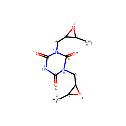 CC1OC1Cn1c(=O)[nH]c(=O)n(CC2OC2C)c1=O